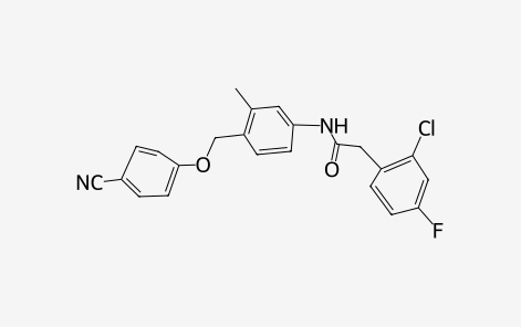 Cc1cc(NC(=O)Cc2ccc(F)cc2Cl)ccc1COc1ccc(C#N)cc1